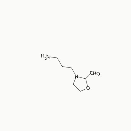 NCCCN1CCOC1C=O